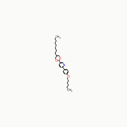 CCCCCCCCC1COC(c2ccc(-c3ccc(OCCCCCC)cc3)nc2)OC1